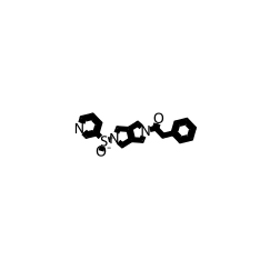 O=C(Cc1ccccc1)N1CC2=C(C1)CN([S+]([O-])c1cccnc1)C2